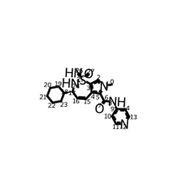 Cn1cc2c(c1C(=O)Nc1ccncc1)C=C[C@@H](C1CCCCC1)NS2(=N)=O